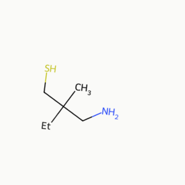 CCC(C)(CN)CS